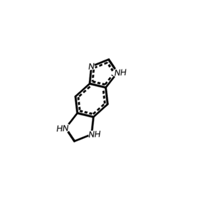 c1nc2cc3c(cc2[nH]1)NCN3